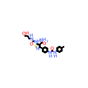 Cc1ccc(NC(=O)Nc2ccc(-c3nsc(NC(=O)NCCCO)c3C(N)=O)cc2)cc1